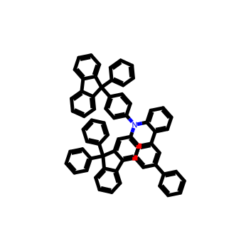 c1ccc(-c2cccc(-c3ccccc3N(c3ccc(C4(c5ccccc5)c5ccccc5-c5ccccc54)cc3)c3ccc4c(c3)C(c3ccccc3)(c3ccccc3)c3ccccc3-4)c2)cc1